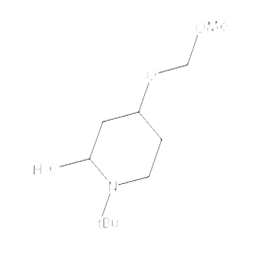 COCOC1CCN(C(C)(C)C)C(C)C1